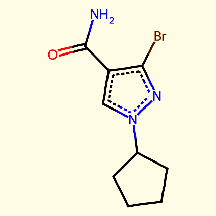 NC(=O)c1cn(C2CCCC2)nc1Br